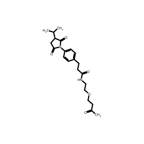 CC(=O)CCOCCNC(=O)CCc1ccc(N2C(=O)CC(C(C)C)C2=O)cc1